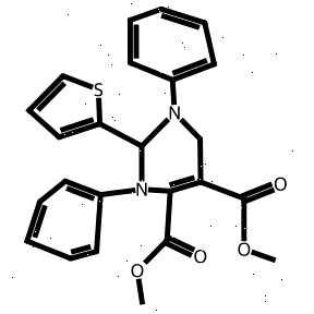 COC(=O)C1=C(C(=O)OC)N(c2ccccc2)C(c2cccs2)N(c2ccccc2)C1